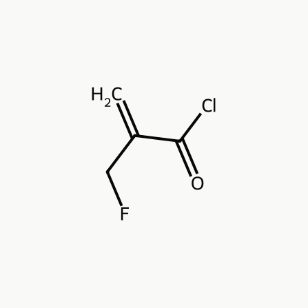 C=C(CF)C(=O)Cl